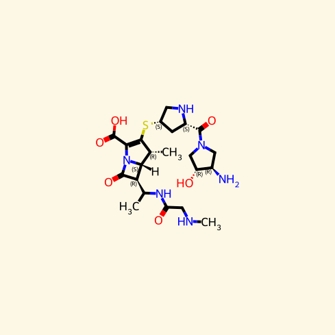 CNCC(=O)NC(C)[C@H]1C(=O)N2C(C(=O)O)=C(S[C@@H]3CN[C@H](C(=O)N4C[C@@H](N)[C@H](O)C4)C3)[C@H](C)[C@H]12